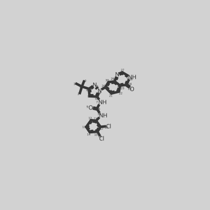 CC(C)(C)c1cc(NC(=O)Nc2cccc(Cl)c2Cl)n(-c2ccc3c(=O)[nH]cnc3c2)n1